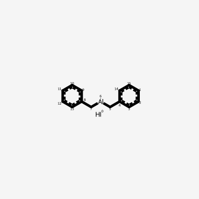 I.c1ccc([CH2][Al][CH2]c2ccccc2)cc1